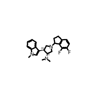 CN(C)[C@H]1CN(C2CCc3ccc(F)c(F)c32)C[C@@H]1c1cn(C)c2ccccc12